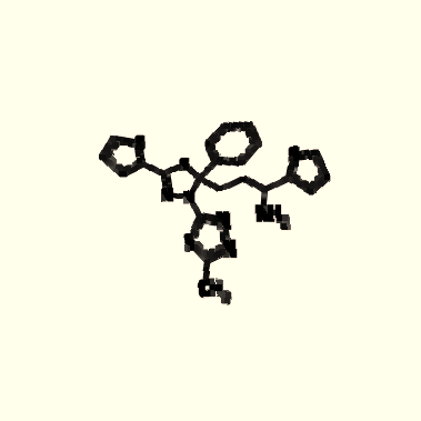 Cc1nnc(N2N=C(c3cccs3)SC2(CCC(N)c2cccs2)c2ccccc2)s1